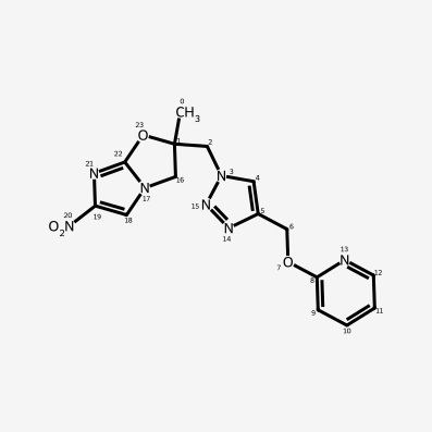 CC1(Cn2cc(COc3ccccn3)nn2)Cn2cc([N+](=O)[O-])nc2O1